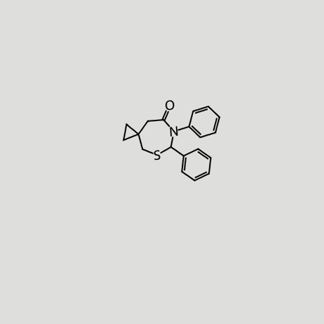 O=C1CC2(CC2)CSC(c2ccccc2)N1c1ccccc1